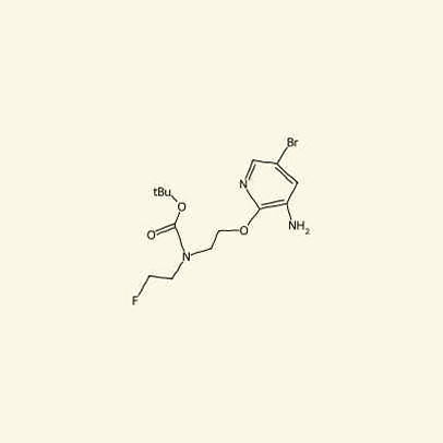 CC(C)(C)OC(=O)N(CCF)CCOc1ncc(Br)cc1N